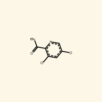 CC(C)(C)C(=O)c1ncc(Cl)cc1Cl